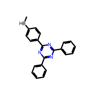 CBc1ccc(-c2nc(-c3ccccc3)nc(-c3ccccc3)n2)cc1